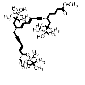 CC[C@H](/C=C/C#CC[C@H](/C=C/C=C/C#C[C@H](CCCC(=O)OC)CC(C)(C)[Si](C)(C)O)CC(C)(C)[Si](C)(C)O)O[Si](C)(C)C(C)(C)C